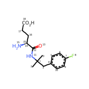 CC(C)(Cc1ccc(F)cc1)NC(=O)[C@@H](N)CCC(=O)O